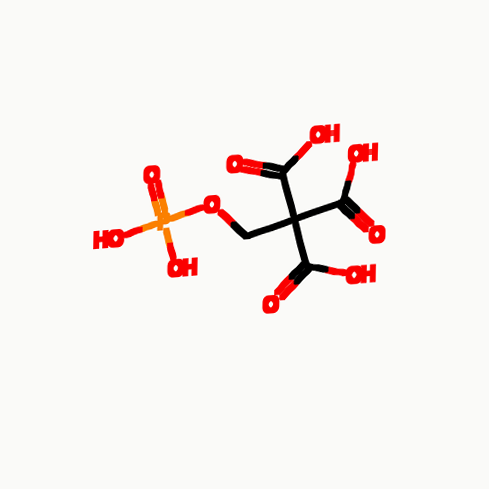 O=C(O)C(COP(=O)(O)O)(C(=O)O)C(=O)O